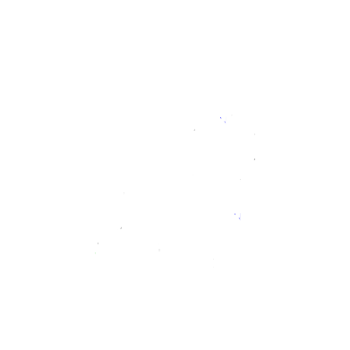 CC(NC1CCN(C)CC1)c1cccc(Cl)c1